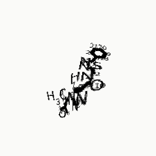 C[C@@H](C1COC1)n1cc(C(=O)NCc2nnc(-c3ccccc3)s2)nn1